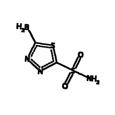 Bc1nnc(S(N)(=O)=O)s1